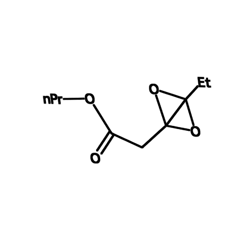 CCCOC(=O)CC12OC1(CC)O2